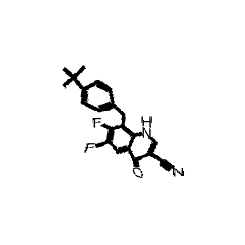 CC(C)(C)c1ccc(Cc2c(F)c(F)cc3c(=O)c(C#N)c[nH]c23)cc1